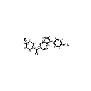 N#Cc1ccc(-n2cnc3cc(C(=O)N4CCC(F)(F)CC4)cnc32)cc1